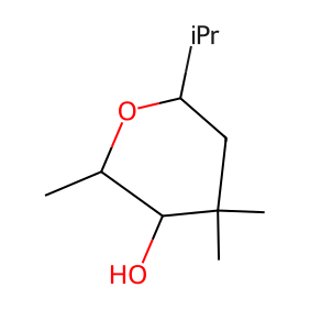 CC(C)C1CC(C)(C)C(O)C(C)O1